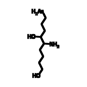 NC(CCCCO)C(O)CCC[AsH2]